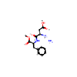 COC(=O)C(Cc1ccccc1)NC(=O)C(N)CC(=O)O.N